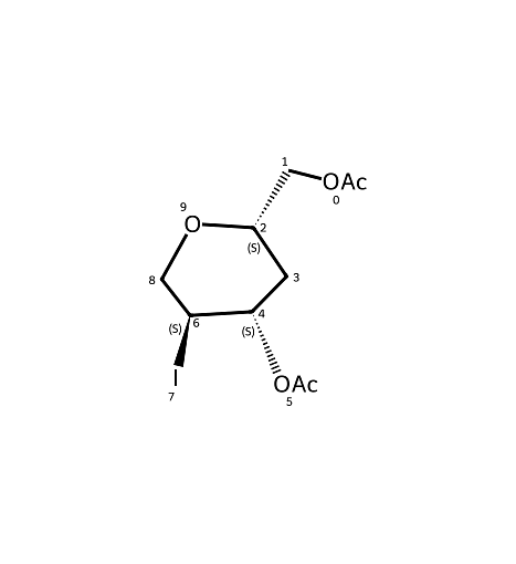 CC(=O)OC[C@@H]1C[C@H](OC(C)=O)[C@@H](I)CO1